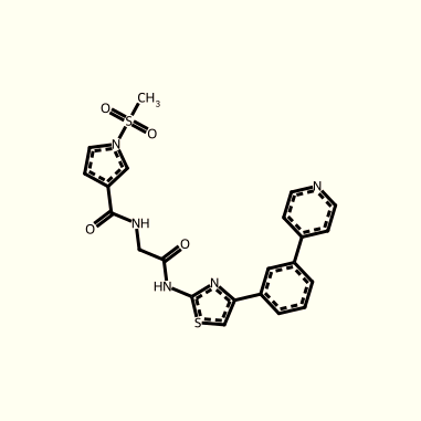 CS(=O)(=O)n1ccc(C(=O)NCC(=O)Nc2nc(-c3cccc(-c4ccncc4)c3)cs2)c1